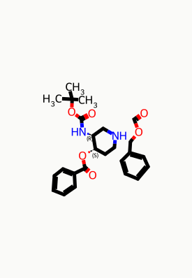 CC(C)(C)OC(=O)N[C@@H]1CNCC[C@@H]1OC(=O)c1ccccc1.O=COCc1ccccc1